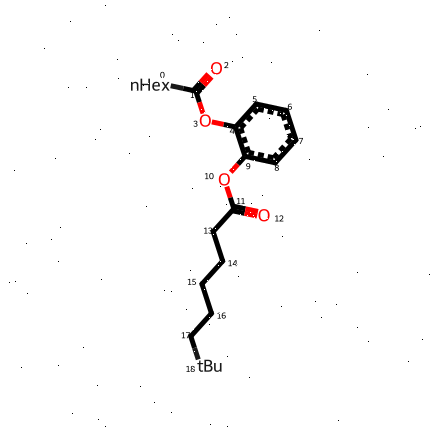 CCCCCCC(=O)Oc1ccccc1OC(=O)CCCCCC(C)(C)C